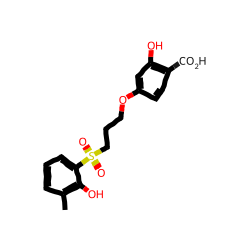 Cc1cccc(S(=O)(=O)CCCOc2ccc(C(=O)O)c(O)c2)c1O